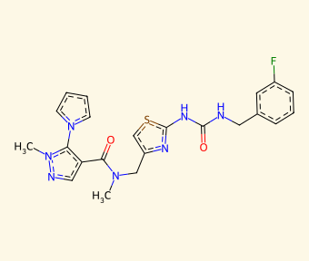 CN(Cc1csc(NC(=O)NCc2cccc(F)c2)n1)C(=O)c1cnn(C)c1-n1cccc1